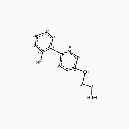 OCCOc1ccc(-c2ccccc2F)nc1